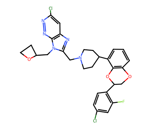 Fc1cc(Cl)ccc1C1COc2cccc(C3CCN(Cc4nc5cc(Cl)nnc5n4CC4CCO4)CC3)c2O1